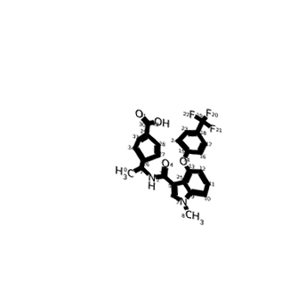 CC(NC(=O)c1cn(C)c2cccc(Oc3ccc(C(F)(F)F)cc3)c12)c1ccc(C(=O)O)cc1